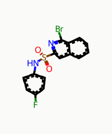 O=S(=O)(Nc1ccc(F)cc1)c1cc2ccccc2c(Br)n1